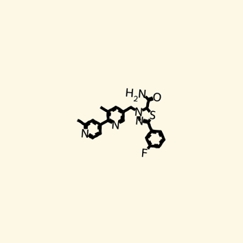 Cc1cc(-c2ncc(CN3N=C(c4cccc(F)c4)SC3C(N)=O)cc2C)ccn1